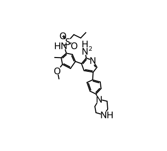 CCCS(=O)(=O)Nc1cc(-c2cc(-c3ccc(N4CCNCC4)cc3)cnc2N)cc(OC)c1C